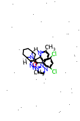 Cc1ccc(-n2nccn2)c(C(=O)N2[C@H]3CCC[C@@H]2c2nn(C)c(-c4cc(Cl)cc(Cl)c4)c2C3)n1